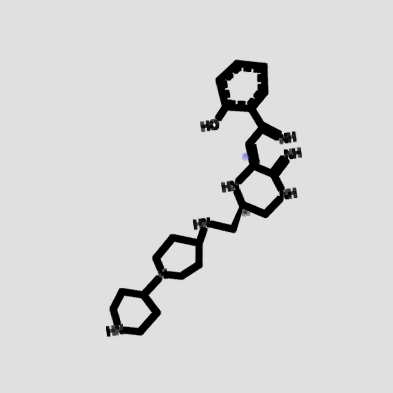 N=C1NC[C@@H](CNC2CCN(C3CCNCC3)CC2)N/C1=C/C(=N)c1ccccc1O